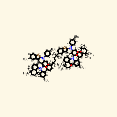 Cc1cc2c3c(c1)N(c1ccc(C(C)(C)C)cc1-c1ccc(C(C)(C)CCC(C)(C)c4ccc5sc6c(c5c4)B4c5ccc7c(c5N(c5c(C)cc(C(C)(C)C)cc5-c5ccc8c(c5)C(C)(C)CCC8(C)C)c5cc(C)cc(c54)N6c4ccc(C(C)(C)C)cc4)C(C)(C)CCC7(C)C)cc1)c1c(ccc4c1C(C)(C)CCC4(C)C)B3c1c(sc3ccc(C(C)(C)C)cc13)N2c1ccc(C(C)(C)C)cc1